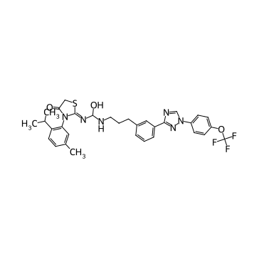 Cc1ccc(C(C)C)c(N2C(=O)CS/C2=N\C(O)NCCCc2cccc(-c3ncn(-c4ccc(OC(F)(F)F)cc4)n3)c2)c1